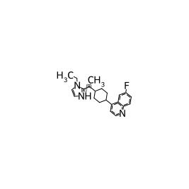 CCN1C=CN[C@H]1[C@H](C)C1CCC(c2ccnc3ccc(F)cc23)CC1